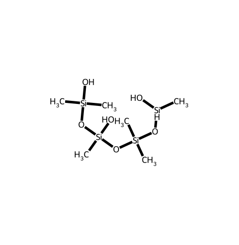 C[SiH](O)O[Si](C)(C)O[Si](C)(O)O[Si](C)(C)O